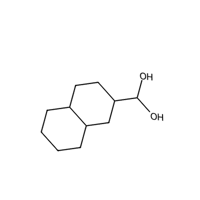 OC(O)C1CCC2CCCCC2C1